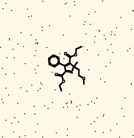 CCOC(=O)C1=NC(C)(CCOC)C(C(=O)OCC)=C1c1ccccc1